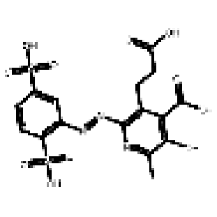 Cc1nc(N=Nc2cc(S(=O)(=O)O)ccc2S(=O)(=O)O)c(CCC(=O)O)c(C(=O)O)c1O